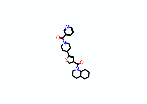 O=C(c1cccnc1)N1CCC(C2=CC(C(=O)N3CCCC4CCCCC43)CS2)CC1